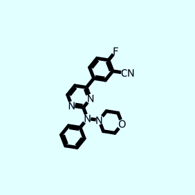 N#Cc1cc(-c2ccnc(N(c3ccccc3)N3CCOCC3)n2)ccc1F